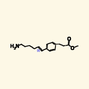 COC(=O)CCc1ccc(/C=C/CCCCN)cc1